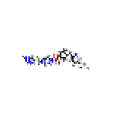 Cn1cnc(CCN2CCN(C(=O)Oc3ccc(Cc4ccc(C(F)(F)F)cn4)cc3)CC2)c1